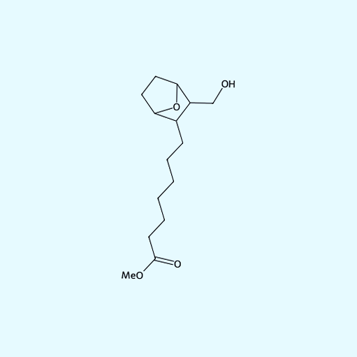 COC(=O)CCCCCCC1C2CCC(O2)C1CO